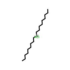 CCCCCCCC[CH2][Al][CH2]CCCCCCCC.Cl